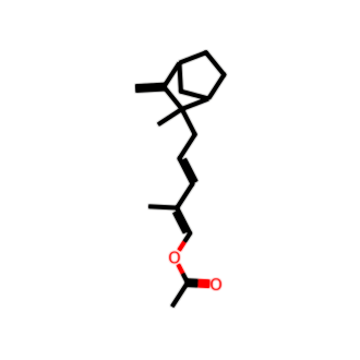 C=C1C2CCC(C2)C1(C)C/C=C/C(C)=C/OC(C)=O